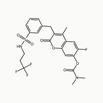 Cc1c(Cc2cccc(S(=O)(=O)NCCC(F)(F)F)c2)c(=O)oc2cc(OC(=O)N(C)C)c(F)cc12